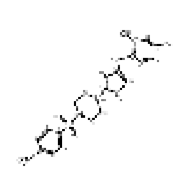 O=[N+]([O-])c1ccc(S(=O)(=O)N2CCN(c3nc(Cc4ccc(Cl)cc4Cl)cs3)CC2)cc1